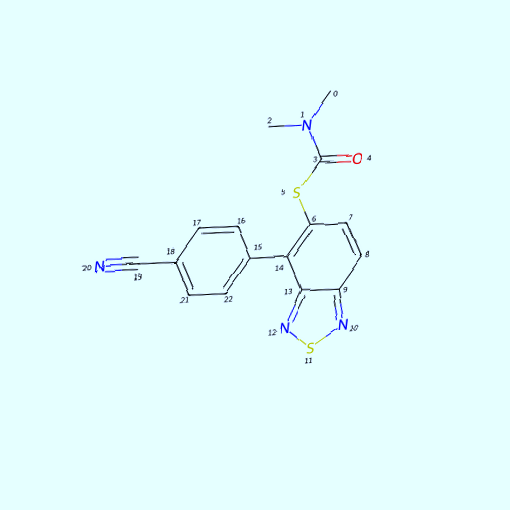 CN(C)C(=O)Sc1ccc2nsnc2c1-c1ccc(C#N)cc1